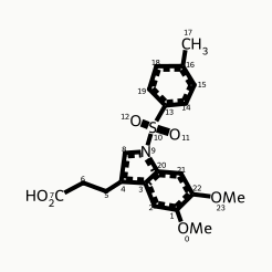 COc1cc2c(CCC(=O)O)cn(S(=O)(=O)c3ccc(C)cc3)c2cc1OC